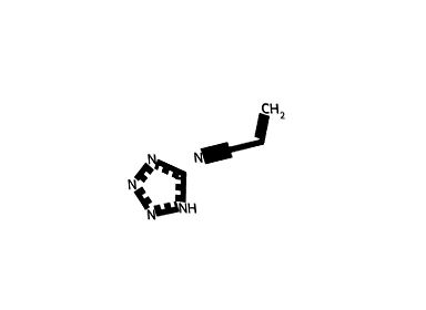 C=CC#N.c1nnn[nH]1